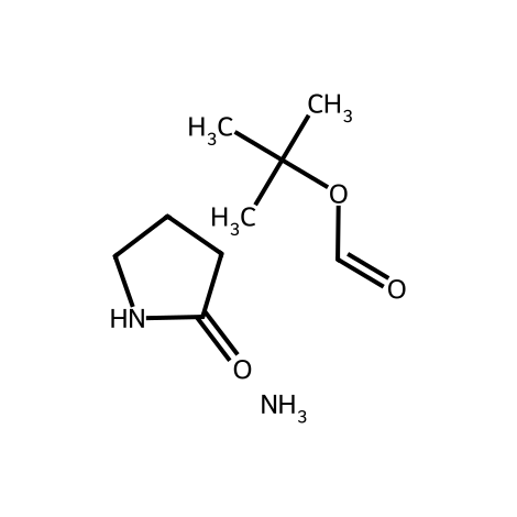 CC(C)(C)OC=O.N.O=C1CCCN1